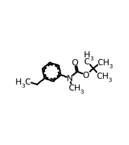 CCc1cccc(N(C)C(=O)OC(C)(C)C)c1